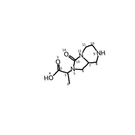 CC(C(=O)O)N1CC2CNCCN2C1=O